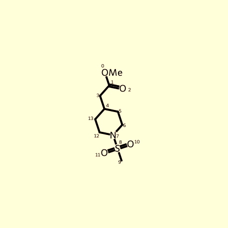 COC(=O)CC1CCN(S(C)(=O)=O)CC1